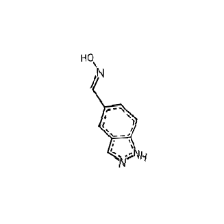 ON=Cc1ccc2[nH]ncc2c1